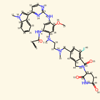 C=CC(=O)Nc1cc(Nc2nccc(-c3cn(C)c4ccccc34)n2)c(OC)cc1N(C)CCN(C)Cc1cc(F)c2c(c1)CN(C1CCC(=O)NC1=O)C2=O